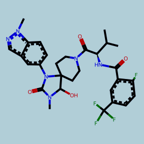 CC(C)[C@@H](NC(=O)c1cc(C(F)(F)F)ccc1F)C(=O)N1CCC2(CC1)C(O)N(C)C(=O)N2c1ccc2c(cnn2C)c1